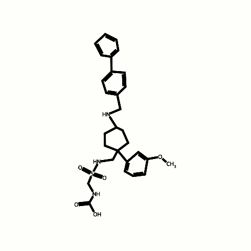 COc1cccc(C2(CNS(=O)(=O)CNC(=O)O)CCC(NCc3ccc(-c4ccccc4)cc3)CC2)c1